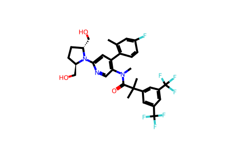 Cc1cc(F)ccc1-c1cc(N2[C@@H](CO)CC[C@@H]2CO)ncc1N(C)C(=O)C(C)(C)c1cc(C(F)(F)F)cc(C(F)(F)F)c1